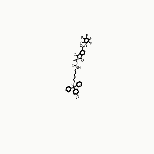 COc1ccc(C(OCCCCCCNC(=O)OC(C)N2C(=O)c3ccc(C(=O)Oc4c(F)c(F)c(F)c(F)c4F)cc3C2=O)(c2ccccc2)c2ccccc2)cc1